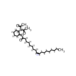 CCCCCCCC/C=C\CCCCCCCC(=O)O[C@H]1CCCC[C@@H]1N(C(C)=O)C(C)=O